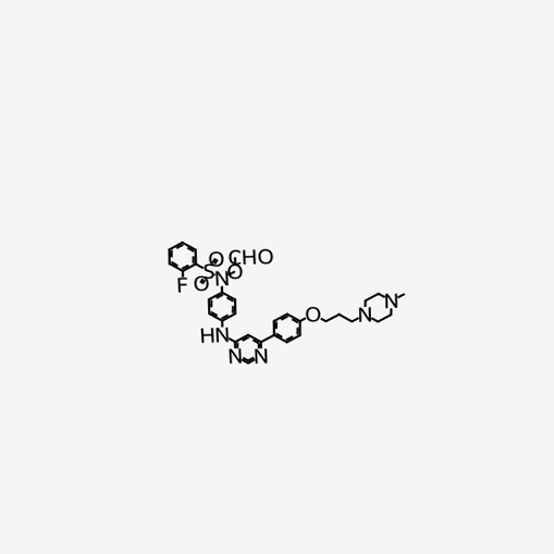 CN1CCN(CCCOc2ccc(-c3cc(Nc4ccc(N(OC=O)S(=O)(=O)c5ccccc5F)cc4)ncn3)cc2)CC1